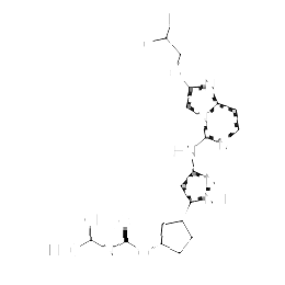 CC(C)NC(=O)O[C@@H]1CC[C@H](c2cc(Nc3nccc4nc(OCC(F)F)cn34)n[nH]2)[C@H]1F